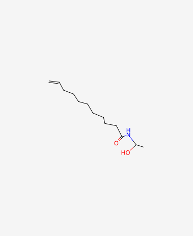 C=CCCCCCCCCC(=O)NC(C)O